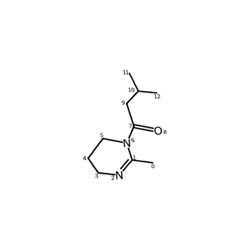 CC1=NCCCN1C(=O)CC(C)C